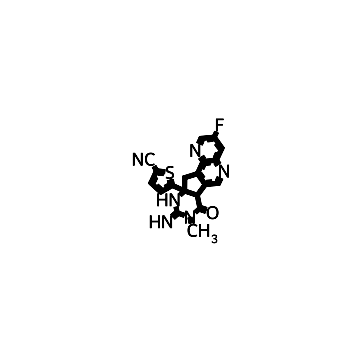 CN1C(=N)NC2(c3ccc(C#N)s3)Cc3c(cnc4cc(F)cnc34)C2C1=O